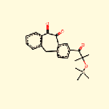 CC(C)(O[Si](C)(C)C)C(=O)c1ccc2c(c1)C(=O)C(=O)c1ccccc1C2